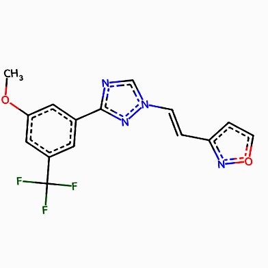 COc1cc(-c2ncn(C=Cc3ccon3)n2)cc(C(F)(F)F)c1